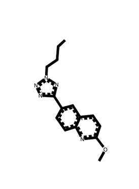 CCCCn1nnc(-c2ccc3nc(OC)ccc3c2)n1